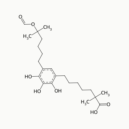 CC(C)(CCCCc1cc(CCCCCC(C)(C)C(=O)O)c(O)c(O)c1O)OC=O